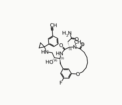 C#Cc1cccc(C2(NC[C@@H](O)[C@@H]3Cc4cc(F)cc(c4)OCCCCCC(=O)N(C)[C@@H](CC(N)=O)C(=O)N3)CC2)c1